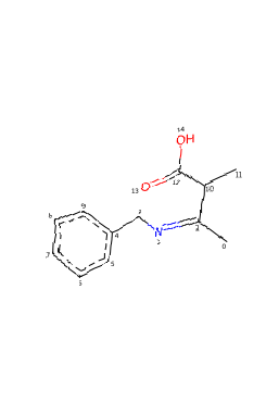 CC(=NCc1ccccc1)C(C)C(=O)O